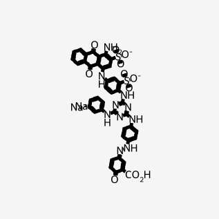 Nc1c(S(=O)(=O)[O-])cc(Nc2ccc(Nc3nc(Nc4ccccc4)nc(Nc4ccc(N/N=C5/C=CC(=O)C(C(=O)O)=C5)cc4)n3)c(S(=O)(=O)[O-])c2)c2c1C(=O)c1ccccc1C2=O.[Na+].[Na+]